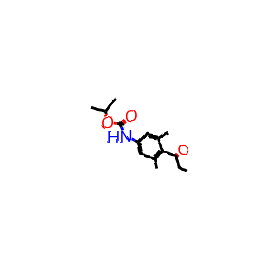 CCC(=O)c1c(C)cc(NC(=O)OC(C)C)cc1C